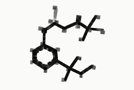 CCC(C)(C)c1cccc(O[C@H](C)CNC(C)(C)C)c1